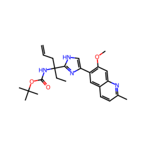 C=CCC(CC)(NC(=O)OC(C)(C)C)c1nc(-c2cc3ccc(C)nc3cc2OC)c[nH]1